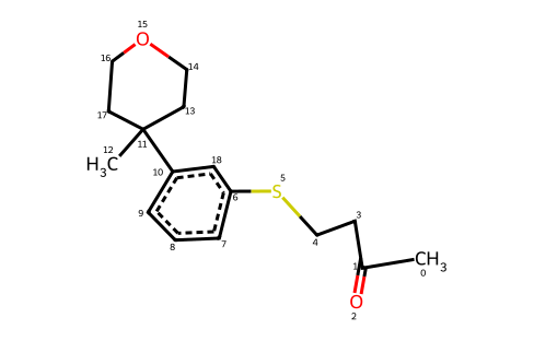 CC(=O)CCSc1cccc(C2(C)CCOCC2)c1